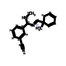 CNC(/N=C/C1(C)C=CC=CC1)c1cccc(C#N)c1